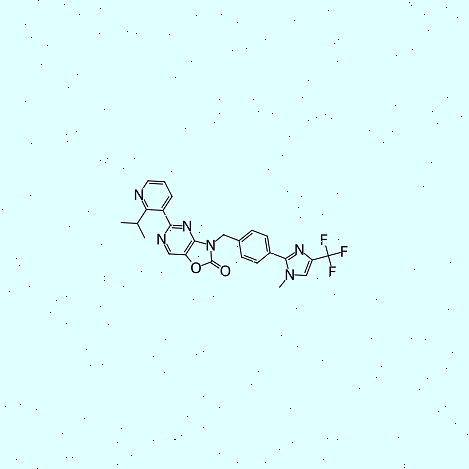 CC(C)c1ncccc1-c1ncc2oc(=O)n(Cc3ccc(-c4nc(C(F)(F)F)cn4C)cc3)c2n1